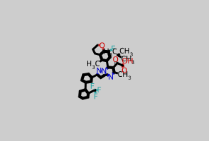 Cc1nc2cc(-c3cccc(-c4ccccc4C(F)(F)F)c3)nn2c(-c2cc(F)c3c(c2C)CCCO3)c1[C@H](OC(C)(C)C)C(=O)O